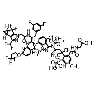 Cc1cc(CC(=O)NCC(=O)O)c(C(C)(C)CC(=O)N(c2nn(C)c3c(-n4c([C@H](Cc5cc(F)cc(F)c5)NC(=O)Cn5nc(C(F)F)c6c5C(F)(F)[C@@H]5C[C@H]65)nc5nc(OCCC(F)(F)F)ccc5c4=O)ccc(Cl)c23)S(C)(=O)=O)c(OP(=O)(O)O)c1